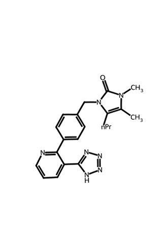 CCCc1c(C)n(C)c(=O)n1Cc1ccc(-c2ncccc2-c2nnn[nH]2)cc1